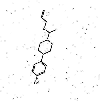 C=CCOC(C)C1CCC(c2ccc(C#N)cc2)CC1